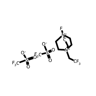 FC(F)(F)C[N+]12CC[N+](F)(CC1)CC2.O=S(=O)([O-])C(F)(F)F.O=S(=O)([O-])C(F)(F)F